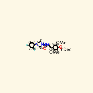 CCCCCCCCCCOc1c(OC)cc(C=CC(=O)NN2CCN(c3ccc(F)cc3F)CC2)cc1OC